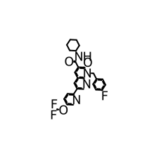 O=C(NC1CCCCC1)c1cc2cc(-c3ccc(OC(F)F)cn3)cnc2n(Cc2ccc(F)cc2)c1=O